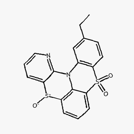 CCc1ccc2c(c1)N1c3ncccc3[S+]([O-])c3cccc(c31)S2(=O)=O